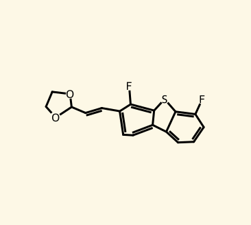 Fc1cccc2c1sc1c(F)c(/C=C/C3OCCO3)ccc12